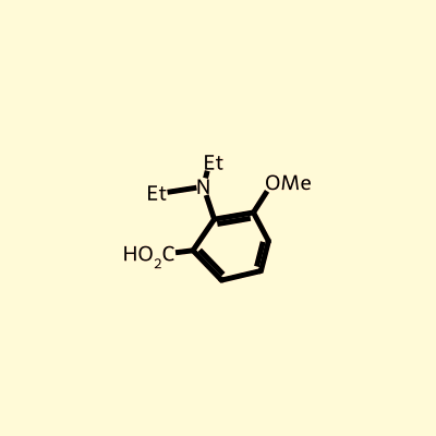 CCN(CC)c1c(OC)cccc1C(=O)O